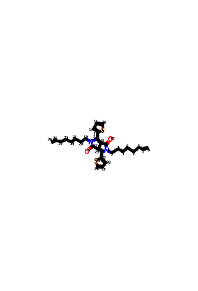 C=CCCCCCCN1C(=O)C2=C(c3cccs3)N(CCCCCCC=C)C(=O)C2=C1c1cccs1